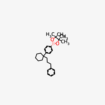 CC1(C)OB(c2ccc(C3(CCCc4ccccc4)CCCCC3)cc2)OC1(C)C